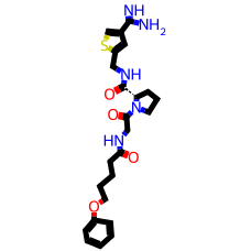 N=C(N)c1csc(CNC(=O)[C@@H]2CCCN2C(=O)CNC(=O)CCCCOc2ccccc2)c1